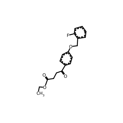 CCOC(=O)CCC(=O)c1ccc(OCc2ccccc2F)cc1